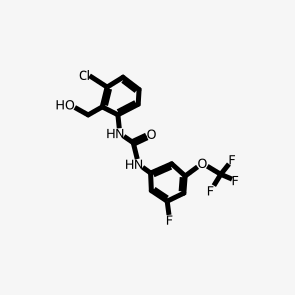 O=C(Nc1cc(F)cc(OC(F)(F)F)c1)Nc1cccc(Cl)c1CO